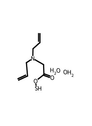 C=CCN(CC=C)CC(=O)OS.O.O